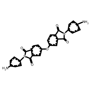 Nc1ccc(N2C(=O)c3ccc(Oc4ccc5c(c4)C(=O)N(c4ccc(N)cc4)C5=O)cc3C2=O)cc1